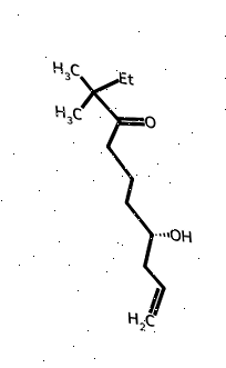 C=CC[C@@H](O)CCCC(=O)C(C)(C)CC